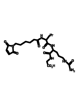 CC(C)C(NC(=O)CCCCCN1C(=O)C=CC1=O)C(=O)NC(CCCNC(N)=O)C(=O)NCC(=O)O